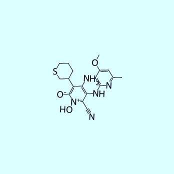 COc1cc(C)nc(Nc2c(N)c(C3CCCSC3)c([O-])[n+](O)c2C#N)c1